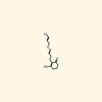 O=C1CCCC(O)=C1CC/C=N/OC/C=C/Cl